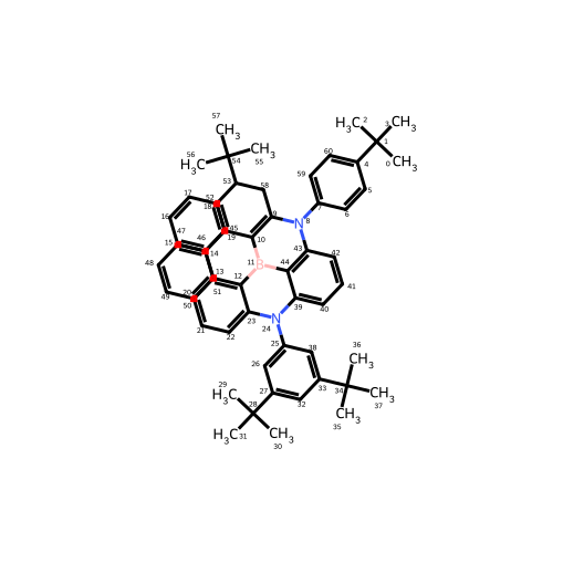 CC(C)(C)c1ccc(N2C3=C(B4c5c(-c6ccccc6)cccc5N(c5cc(C(C)(C)C)cc(C(C)(C)C)c5)c5cccc2c54)C(c2ccccc2)=CC(C(C)(C)C)C3)cc1